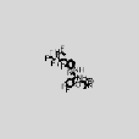 Cc1nonc1C(=O)N[C@H](c1nc2c(F)c([C@@H](CC(F)F)C(=O)NC(F)C(F)F)ccc2[nH]1)C1CCC(F)(F)CC1